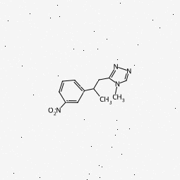 CC(Cc1nncn1C)c1cccc([N+](=O)[O-])c1